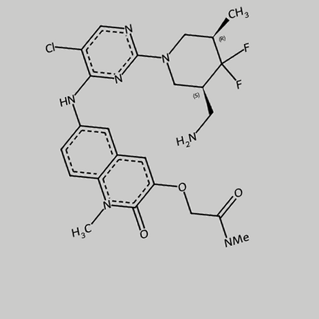 CNC(=O)COc1cc2cc(Nc3nc(N4C[C@H](CN)C(F)(F)[C@H](C)C4)ncc3Cl)ccc2n(C)c1=O